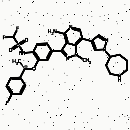 C[C@H](Oc1cc(-c2nn(C)c3c(-c4cnn(C5CCCNCC5)c4)cnc(N)c23)ccc1NS(=O)(=O)C(F)F)c1ccc(F)cc1